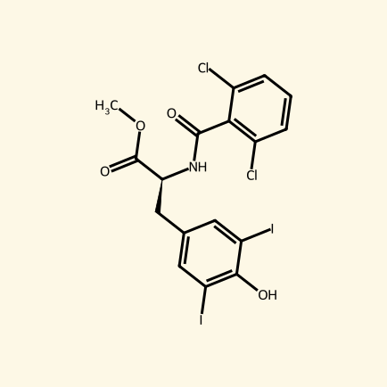 COC(=O)[C@H](Cc1cc(I)c(O)c(I)c1)NC(=O)c1c(Cl)cccc1Cl